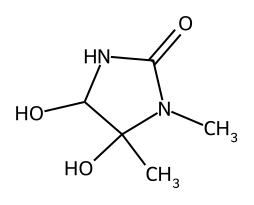 CN1C(=O)NC(O)C1(C)O